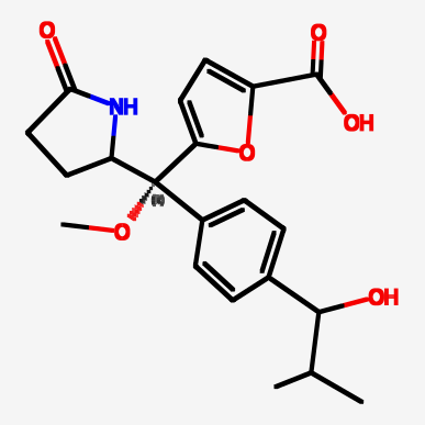 CO[C@@](c1ccc(C(O)C(C)C)cc1)(c1ccc(C(=O)O)o1)C1CCC(=O)N1